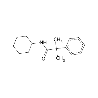 CC(C)(C(=O)NC1CCCCC1)c1ccccc1